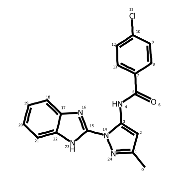 Cc1cc(NC(=O)c2ccc(Cl)cc2)n(-c2nc3ccccc3[nH]2)n1